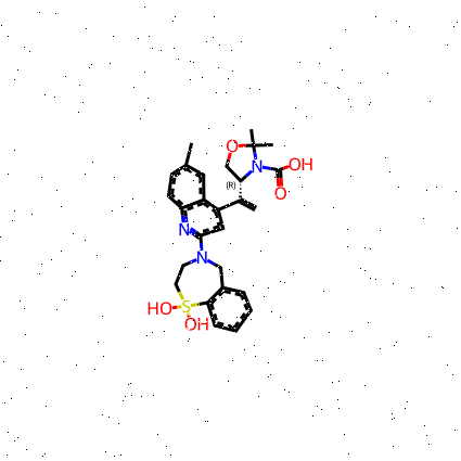 C=C(c1cc(N2CCS(O)(O)c3ccccc3C2)nc2ccc(C)cc12)[C@@H]1COC(C)(C)N1C(=O)O